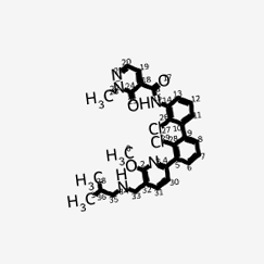 COc1nc(-c2cccc(-c3cccc(NC(=O)c4ccnn(C)c4=O)c3Cl)c2Cl)ccc1CNCC(C)C